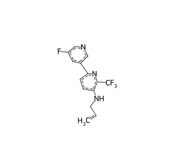 C=CCNc1ccc(-c2cncc(F)c2)nc1C(F)(F)F